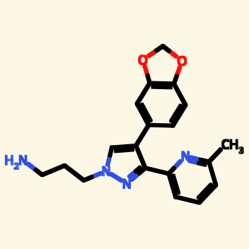 Cc1cccc(-c2nn(CCCN)cc2-c2ccc3c(c2)OCO3)n1